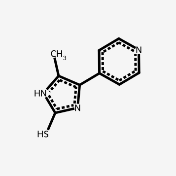 Cc1[nH]c(S)nc1-c1ccncc1